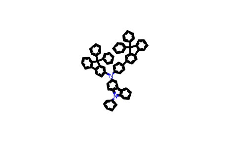 c1ccc(-n2c3ccccc3c3cc(N(c4ccc(-c5ccc6c(c5)C(c5ccccc5)(c5ccccc5)c5ccccc5-6)cc4)c4ccc5c(c4)C(c4ccccc4)(c4ccccc4)c4ccccc4-5)ccc32)cc1